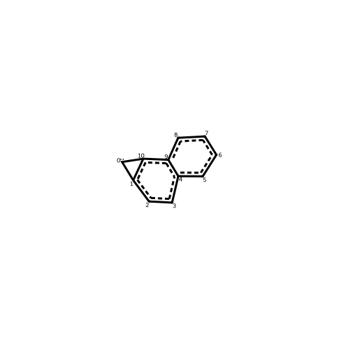 [C]1c2ccc3ccccc3c21